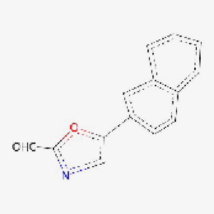 O=Cc1ncc(-c2ccc3ccccc3c2)o1